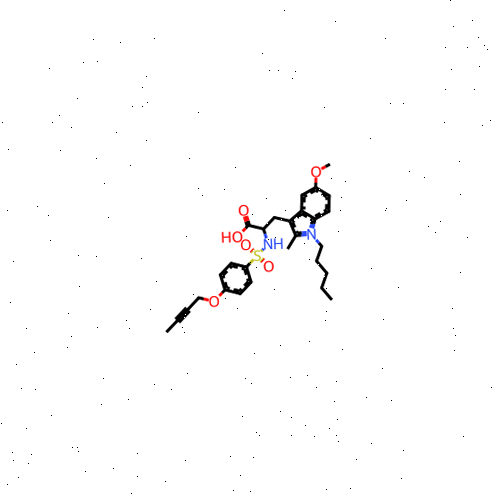 CC#CCOc1ccc(S(=O)(=O)NC(Cc2c(C)n(CCCCC)c3ccc(OC)cc23)C(=O)O)cc1